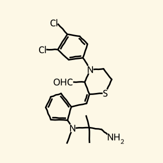 CN(c1ccccc1C=C1SCCN(c2ccc(Cl)c(Cl)c2)C1C=O)C(C)(C)CN